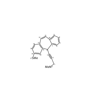 CNCC#CC1c2ccccc2C=Cc2ccc(SC)cc21